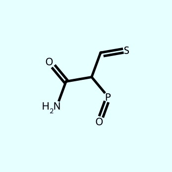 NC(=O)C(C=S)P=O